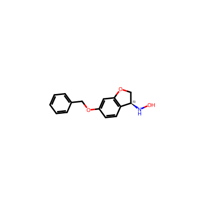 ON[C@@H]1COc2cc(OCc3ccccc3)ccc21